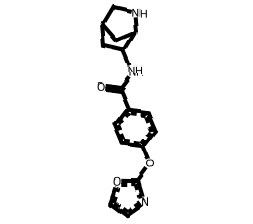 O=C(NC1CC2CNC1C2)c1ccc(Oc2ncco2)cc1